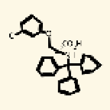 C[C@@](COc1cccc(Cl)c1)(NC(c1ccccc1)(c1ccccc1)c1ccccc1)C(=O)O